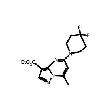 CCOC(=O)c1cnn2c(C)cc(N3CCC(F)(F)CC3)nc12